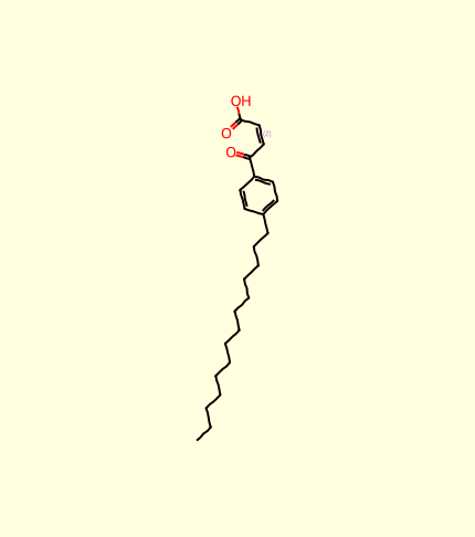 CCCCCCCCCCCCCCc1ccc(C(=O)/C=C\C(=O)O)cc1